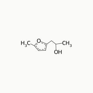 Cc1ccc(CC(C)O)o1